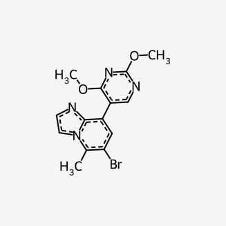 COc1ncc(-c2cc(Br)c(C)n3ccnc23)c(OC)n1